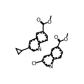 COC(=O)c1ccc2ncc(C3CC3)cc2c1.COC(=O)c1ccc2ncc(Cl)cc2c1